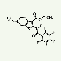 CCOC(=O)c1c(N(F)C(=O)c2c(F)c(F)c(F)c(F)c2F)sc2c1CCN(CC)C2